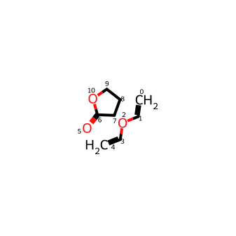 C=COC=C.O=C1CCCO1